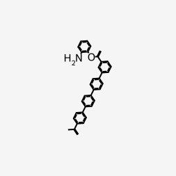 C=C(C)c1ccc(-c2ccc(-c3ccc(-c4cccc(C(=C)Oc5ccccc5N)c4)cc3)cc2)cc1